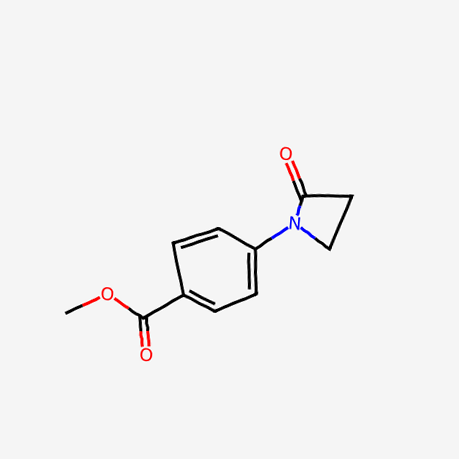 COC(=O)c1ccc(N2CCC2=O)cc1